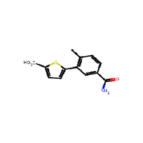 Cc1ccc(C(N)=O)cc1-c1ccc(C(=O)O)s1